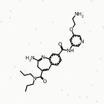 CCCN(CCC)C(=O)C1=Cc2ccc(C(=O)Nc3cncc(OCCN)c3)cc2N=C(N)C1